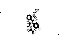 CCC(=O)N(C(=O)C1=C(C(=O)OCOC)CCCC1)c1cc(SC(C)C(=O)OC)c(Cl)cc1F